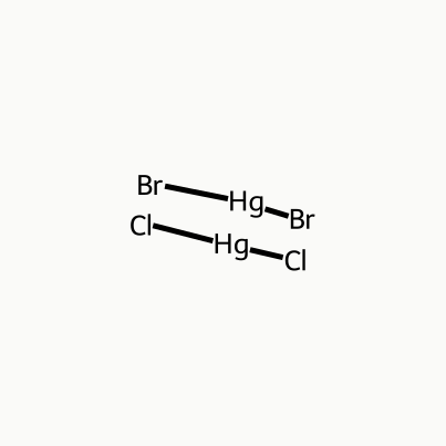 [Br][Hg][Br].[Cl][Hg][Cl]